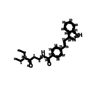 CCN(CC)C(=O)CCNC(=O)c1ccc(C=Cc2n[nH]c3ccccc23)cc1